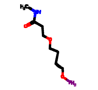 CNC(=O)CCOCCCCOP